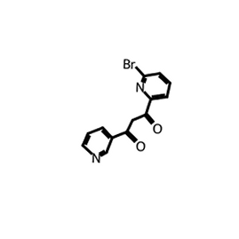 O=C(CC(=O)c1cccc(Br)n1)c1cccnc1